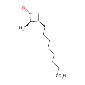 C[C@H]1C(=O)C[C@H]1CCCCCCCC(=O)O